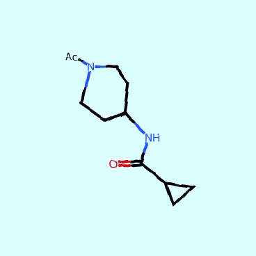 CC(=O)N1CCC(NC(=O)C2CC2)CC1